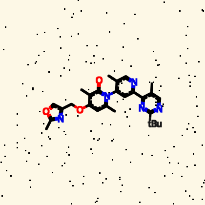 Cc1nc(COc2cc(C)n(-c3cc(-c4nc(C(C)(C)C)ncc4C)ncc3C)c(=O)c2C)co1